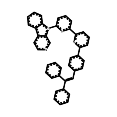 C(=C(c1ccccc1)c1ccccc1)c1ccc(-c2cccc(-c3cccc(-n4c5ccccc5c5ccncc54)n3)n2)cc1